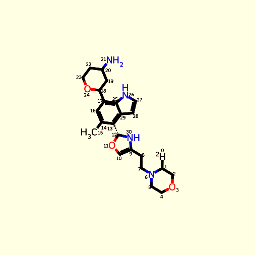 [2H]C1COCCN1CCC1=CO[C@H](c2c(C)cc(C3CC(N)CCO3)c3[nH]ccc23)N1